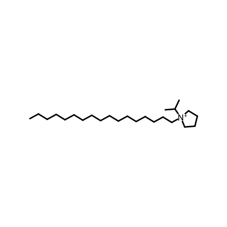 CCCCCCCCCCCCCCCCC[N+]1(C(C)C)CCCC1